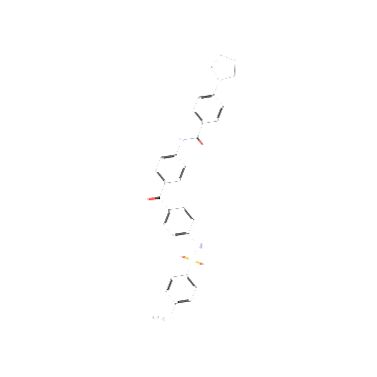 COc1ccc(S(=O)(=O)Nc2ccc(C(=O)c3ccc(NC(=O)c4ccc(N5CCCC5)cc4)cc3)cc2)cc1